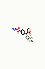 COc1ccc(C(=C2CCOC2=O)c2ccc(S(N)(=O)=O)cc2)cc1Cl